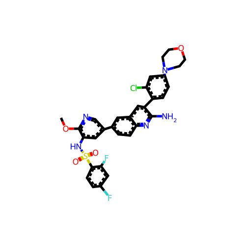 COc1ncc(-c2ccc3nc(N)c(-c4ccc(N5CCOCC5)cc4Cl)cc3c2)cc1NS(=O)(=O)c1ccc(F)cc1F